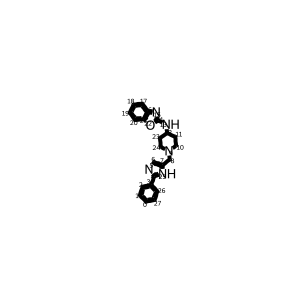 c1ccc(-c2ncc(CN3CCC(Nc4nc5ccccc5o4)CC3)[nH]2)cc1